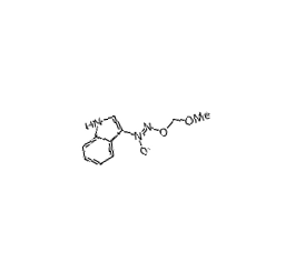 COCON=[N+]([O-])c1c[nH]c2ccccc12